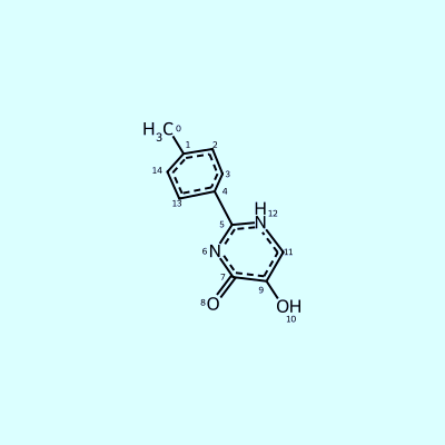 Cc1ccc(-c2nc(=O)c(O)c[nH]2)cc1